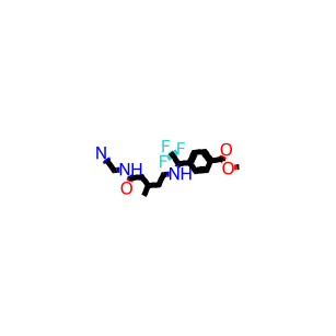 COC(=O)c1ccc(C(NCCC(C)CC(=O)NCC#N)C(F)(F)F)cc1